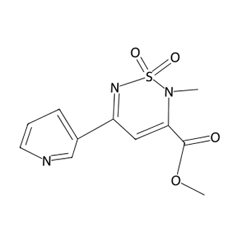 COC(=O)C1=CC(c2cccnc2)=NS(=O)(=O)N1C